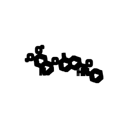 COc1cc2nccc(Oc3ccc4cc(C(=O)Nc5ccccc5)ccc4c3C)c2cc1OC